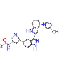 CCC(=O)Nc1cncc(-c2ccc3[nH]nc(-c4cc5c(-n6cnc(C)c6)cccc5[nH]4)c3c2)c1